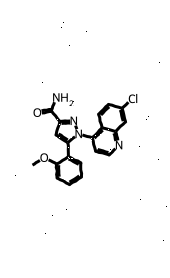 COc1ccccc1-c1cc(C(N)=O)nn1-c1ccnc2cc(Cl)ccc12